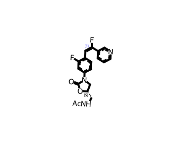 CC(=O)NC[C@H]1CN(c2ccc(/C=C(/F)c3cccnc3)c(F)c2)C(=O)O1